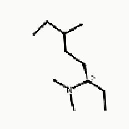 CCC(C)CC[C@@H](CC)N(C)C